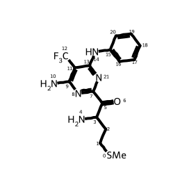 CSCCC(N)C(=O)c1nc(N)c(C(F)(F)F)c(Nc2ccccc2)n1